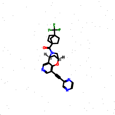 O=C(N1C[C@@H]2C[C@H]1c1cncc(C#Cc3cnccn3)c1O2)C12CCC(C(F)(F)F)(CC1)C2